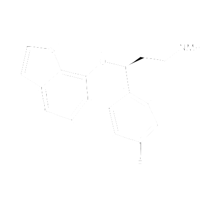 CNCC[C@H](Oc1cccc2ccsc12)c1ccc(F)cc1